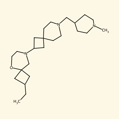 CCC1CC2(C1)CN(C1CC3(CCN(CC4CCN(C)CC4)CC3)C1)CCO2